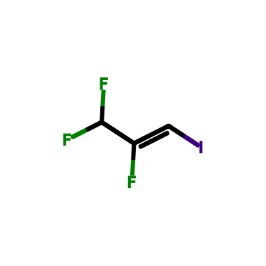 F/C(=C\I)C(F)F